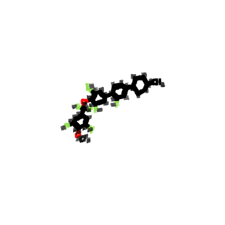 CC1CCC(c2ccc(-c3cc(F)c(OC(F)(F)c4cc(F)c(OC(F)(F)F)c(F)c4)c(F)c3)c(F)c2)CC1